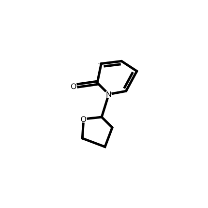 O=c1[c]cccn1C1CCCO1